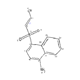 N#C/C=C/S(=O)(=O)c1ccc(N)c2ccccc12